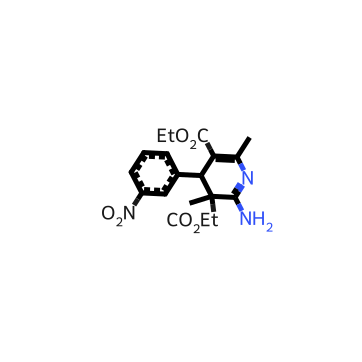 CCOC(=O)C1=C(C)N=C(N)C(C)(C(=O)OCC)C1c1cccc([N+](=O)[O-])c1